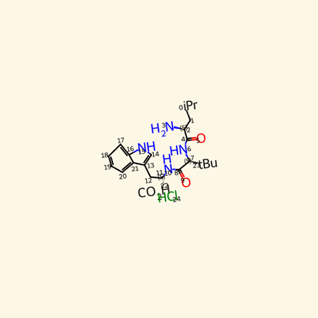 CC(C)C[C@H](N)C(=O)N[C@H](C(=O)N[C@@H](Cc1c[nH]c2ccccc12)C(=O)O)C(C)(C)C.Cl